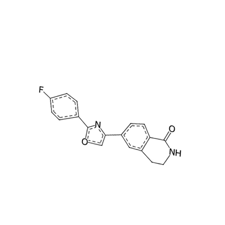 O=C1NCCc2cc(-c3coc(-c4ccc(F)cc4)n3)ccc21